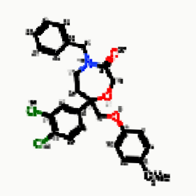 COc1ccc(OCC2(c3ccc(Cl)c(Cl)c3)CCN(Cc3ccccc3)C(=O)CO2)cc1